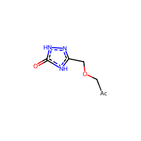 CC(=O)COCc1n[nH]c(=O)[nH]1